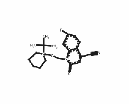 CC(C)(C)[N+]1(CCn2c(=O)cc(C#N)c3ccc(F)cc32)CC[CH]CC1